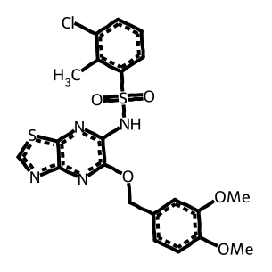 COc1ccc(COc2nc3ncsc3nc2NS(=O)(=O)c2cccc(Cl)c2C)cc1OC